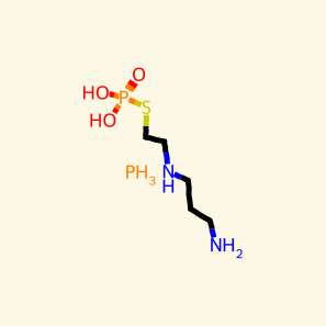 NCCCNCCSP(=O)(O)O.P